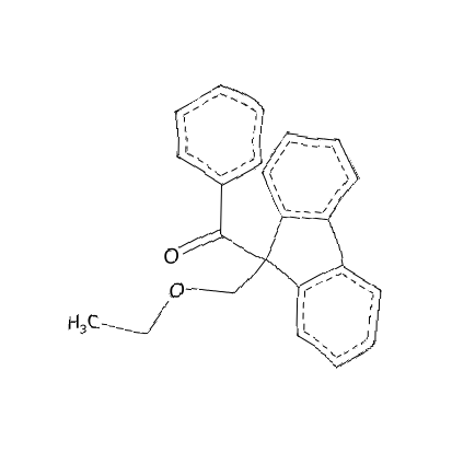 CCOCC1(C(=O)c2ccccc2)c2ccccc2-c2ccccc21